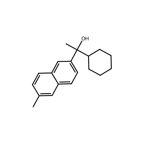 Cc1ccc2cc(C(C)(O)C3CCCCC3)ccc2c1